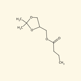 CCCC(=O)OCC1COC(C)(C)O1